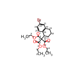 CCOC(=O)C(C(=O)OCC)(C(=O)OCC)C1CCCc2cc(Br)ccc21